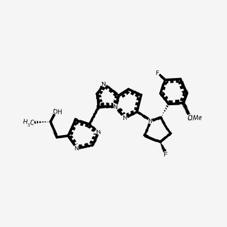 COc1ccc(F)cc1[C@@H]1C[C@@H](F)CN1c1ccc2ncc(-c3cc(C[C@H](C)O)ncn3)n2n1